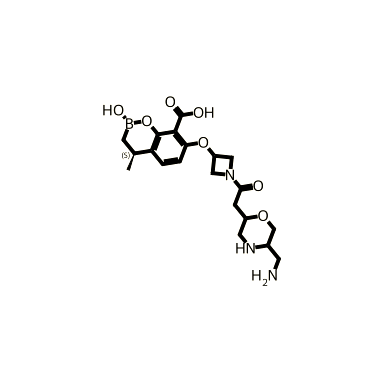 C[C@H]1CB(O)Oc2c1ccc(OC1CN(C(=O)CC3CNC(CN)CO3)C1)c2C(=O)O